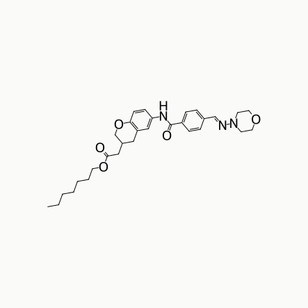 CCCCCCCOC(=O)CC1COc2ccc(NC(=O)c3ccc(C=NN4CCOCC4)cc3)cc2C1